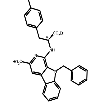 CCOC(=O)[C@H](Cc1ccc(O)cc1)Nc1nc(C(=O)O)cc2c3ccccc3n(Cc3ccccc3)c12